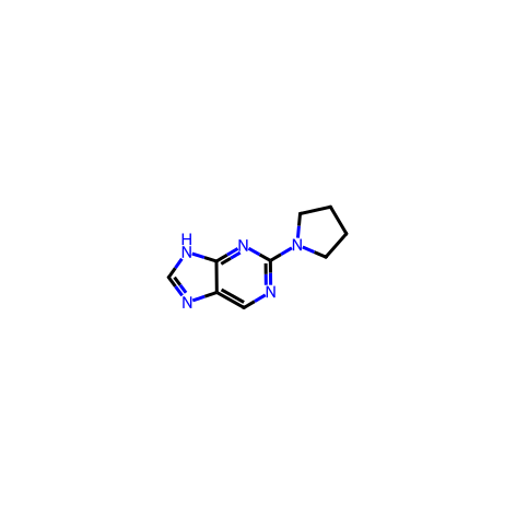 c1nc2cnc(N3CCCC3)nc2[nH]1